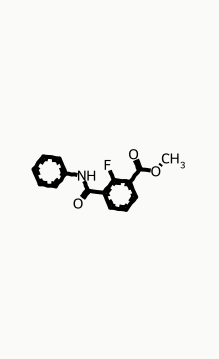 COC(=O)c1cccc(C(=O)Nc2ccccc2)c1F